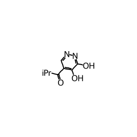 CC(C)C(=O)c1cnnc(O)c1O